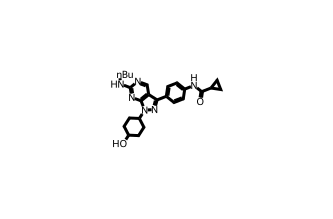 CCCCNc1ncc2c(-c3ccc(NC(=O)C4CC4)cc3)nn(C3CCC(O)CC3)c2n1